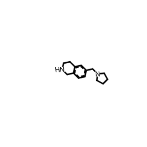 c1cc2c(cc1CN1CCCC1)CCNC2